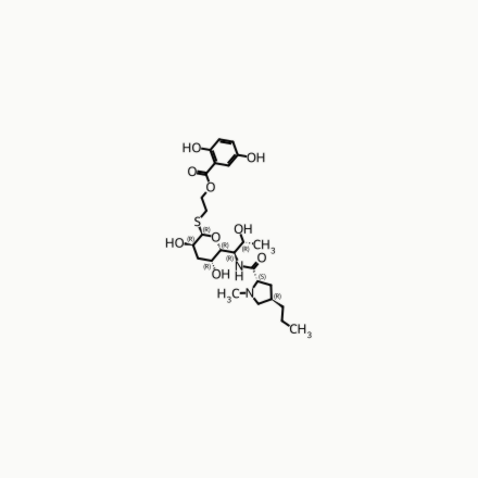 CCC[C@@H]1C[C@@H](C(=O)N[C@@H]([C@H]2O[C@H](SCCOC(=O)c3cc(O)ccc3O)[C@H](O)C[C@H]2O)[C@@H](C)O)N(C)C1